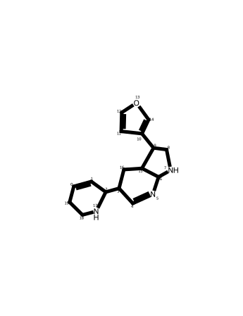 C1=CC(C2C=NC3NCC(c4ccoc4)C3C2)NCC1